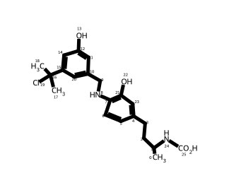 CC(CCc1ccc(NCc2cc(O)cc(C(C)(C)Cl)c2)c(O)c1)NC(=O)O